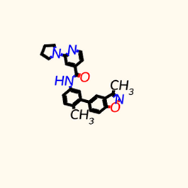 Cc1ccc(NC(=O)c2ccnc(N3CCCC3)c2)cc1-c1ccc2onc(C)c2c1